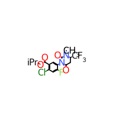 CC(C)OC(=O)c1cc(N2C(=O)CC(C(F)(F)F)N(C)C2=O)c(F)cc1Cl